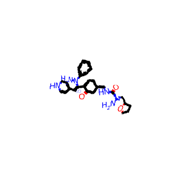 NN(CC1CCCO1)C(=O)NCC1CC=C(/C(=C/C2=CCNC=C2)N(N)c2ccccc2)C(=O)C1